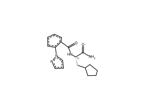 NC(=O)[C@H](CC1CCCC1)NC(=O)c1ccccc1-n1cccn1